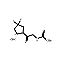 CC(C)COC(=O)NCC(=O)N1CC(F)(F)C[C@H]1C=O